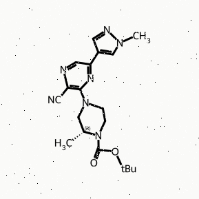 C[C@@H]1CN(c2nc(-c3cnn(C)c3)cnc2C#N)CCN1C(=O)OC(C)(C)C